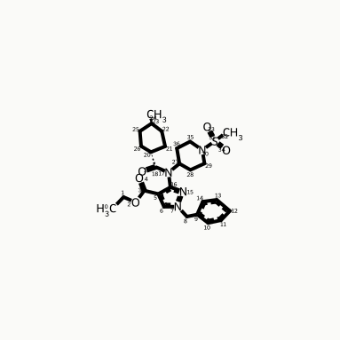 CCOC(=O)c1cn(Cc2ccccc2)nc1N(C(=O)[C@H]1CC[C@H](C)CC1)C1CCN(S(C)(=O)=O)CC1